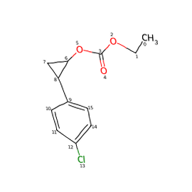 CCOC(=O)OC1CC1c1ccc(Cl)cc1